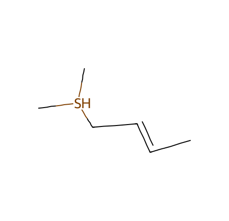 CC=CC[SH](C)C